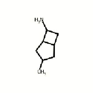 CC1CC2CC(N)C2C1